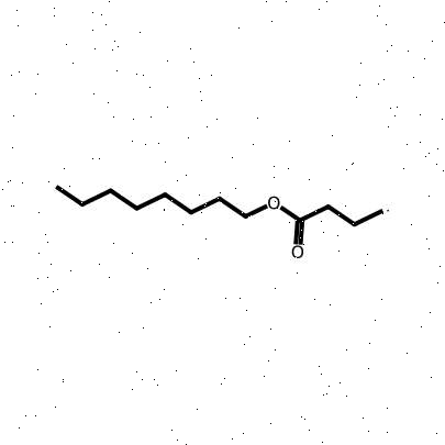 [CH2]CCC(=O)OCCCCCCCC